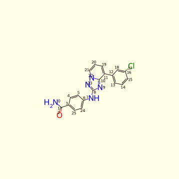 NC(=O)c1ccc(Nc2nc3c(-c4cccc(Cl)c4)cccn3n2)cc1